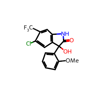 COc1ccccc1C1(O)C(=O)Nc2cc(C(F)(F)F)c(Cl)cc21